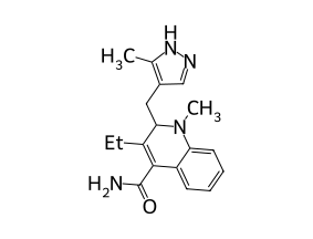 CCC1=C(C(N)=O)c2ccccc2N(C)C1Cc1cn[nH]c1C